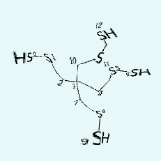 SSCC(CSS)(CSS)CSS